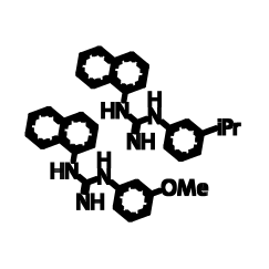 CC(C)c1cccc(NC(=N)Nc2cccc3ccccc23)c1.COc1cccc(NC(=N)Nc2cccc3ccccc23)c1